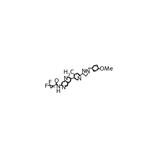 COc1ccc(CN2CCC(c3cc(C)c(-c4cnc5cc(NC(=O)[C@H]6CC6(F)F)ncc5c4)cn3)=N2)cc1